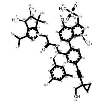 C[C@@H]1c2c(C(F)F)nn(CC(=O)N[C@@H](Cc3cc(F)cc(F)c3)c3nc(C#CC4(CO)CC4)ccc3-c3ccc(Cl)c4c(NS(C)(=O)=O)nn(C)c34)c2C(F)(F)[C@@H]1C